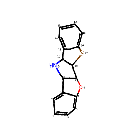 c1ccc2c(c1)OC1C2NC2c3ccccc3SC21